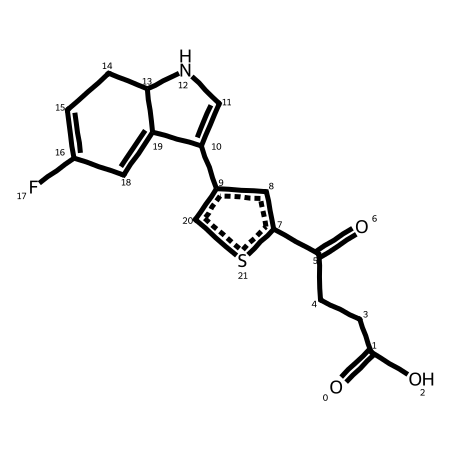 O=C(O)CCC(=O)c1cc(C2=CNC3CC=C(F)C=C23)cs1